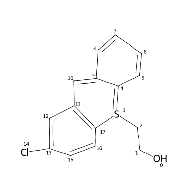 OCCS1=c2ccccc2=Cc2cc(Cl)ccc21